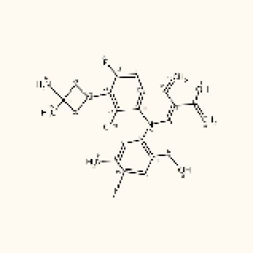 C=C(O)C1=CN(c2cc(N)c(F)cc2CO)c2c(cc(F)c(N3CC(C)(N)C3)c2Cl)C1=C